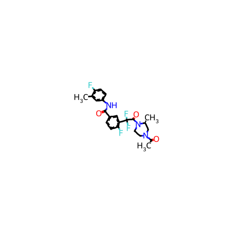 CC(=O)N1CCN(C(=O)C(F)(F)c2cc(C(=O)Nc3ccc(F)c(C)c3)ccc2F)[C@@H](C)C1